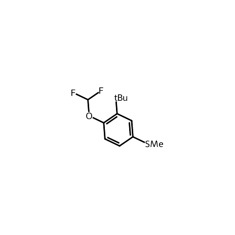 CSc1ccc(OC(F)F)c(C(C)(C)C)c1